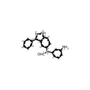 Nc1cccc(N(C=O)c2ccc3[nH]nc(-c4ccccc4)c3c2)c1